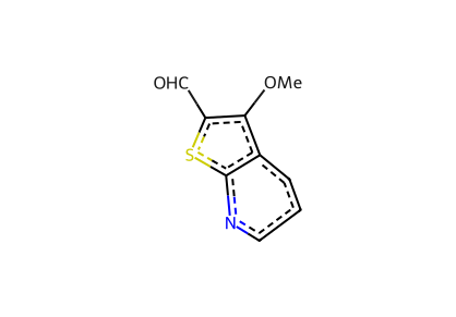 COc1c(C=O)sc2ncccc12